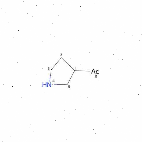 CC(=O)C1CCNC1